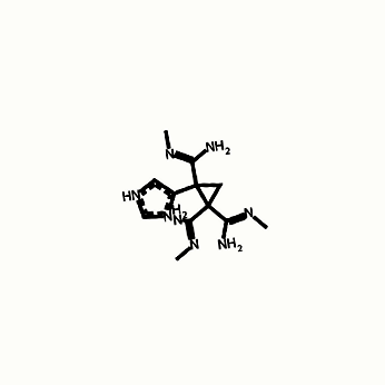 CN=C(N)C1(C(N)=NC)CC1(C(N)=NC)c1c[nH]cn1